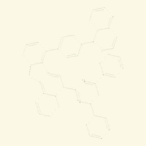 c1ccc(-c2cc(-c3ccccc3)nc(-c3cc4c(oc5cccc(-c6ccc(-c7cccc8ccccc78)cc6)c54)c4ccccc34)n2)cc1